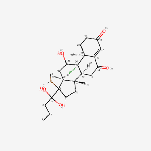 CCCC(O)(O)C1(SC)CC[C@H]2[C@@H]3CC(=O)C4=CC(=O)CC[C@]4(C)[C@]3(F)C(O)C[C@@]21C